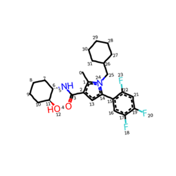 Cc1c(C(=O)N[C@H]2CCCC[C@@H]2O)cc(-c2cc(F)c(F)cc2F)n1CC1CCCCC1